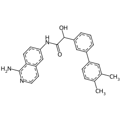 Cc1ccc(-c2cccc(C(O)C(=O)Nc3ccc4c(N)nccc4c3)c2)cc1C